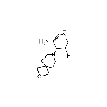 NC1=CNCC(F)C1N1CCC2(CC1)COC2